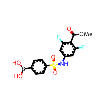 COC(=O)c1c(F)cc(NS(=O)(=O)c2ccc(B(O)O)cc2)cc1F